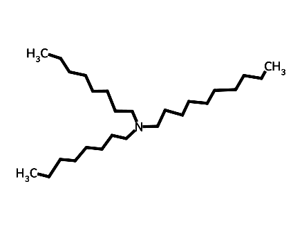 CCCCCCCCCCN(CCCCCCCC)CCCCCCCC